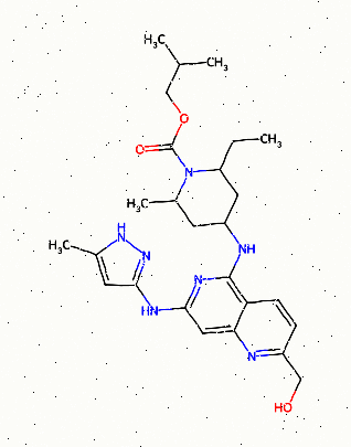 CCC1CC(Nc2nc(Nc3cc(C)[nH]n3)cc3nc(CO)ccc23)CC(C)N1C(=O)OCC(C)C